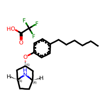 CCCCCCc1ccc(O[C@@H]2C[C@H]3CC[C@@H](C2)N3)cc1.O=C(O)C(F)(F)F